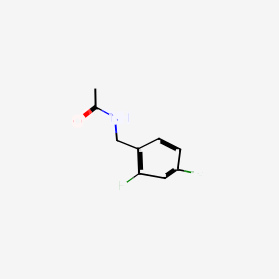 CC(=O)NCc1ccc(Br)cc1F